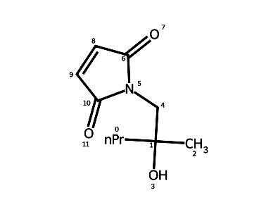 CCCC(C)(O)CN1C(=O)C=CC1=O